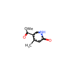 COC(=O)c1c[nH]c(=O)cc1C